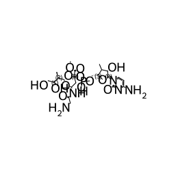 COC(=O)[C@]1(O[PH](=O)OC[C@H]2O[C@@H](n3ccc(N)nc3=O)C(O)C2C)CC(NC(=O)CN)OC([C@H](C)[C@H](O)CO)O1